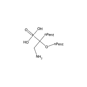 CCCCCOC(CN)(CCCCC)P(=O)(O)O